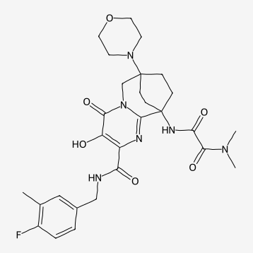 Cc1cc(CNC(=O)c2nc3n(c(=O)c2O)CC2(N4CCOCC4)CCC3(NC(=O)C(=O)N(C)C)CC2)ccc1F